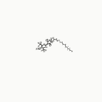 CCCCCCCCCCCCSC1CC2CC1C1C(=O)N(c3cc(C(C)(C)C)c(O)c(C(C)(C)C)c3)C(=O)C21